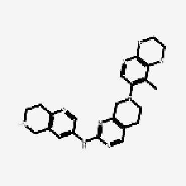 Cc1c(N2CCc3cnc(Nc4cnc5c(c4)CNCC5)nc3C2)cnc2c1NCCO2